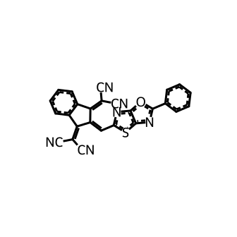 N#CC(C#N)=C1C(=Cc2nc3oc(-c4ccccc4)nc3s2)C(=C(C#N)C#N)c2ccccc21